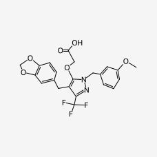 COc1cccc(Cn2nc(C(F)(F)F)c(Cc3ccc4c(c3)OCO4)c2OCC(=O)O)c1